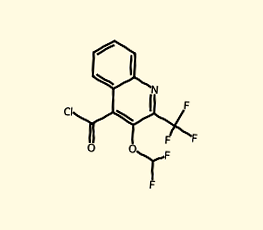 O=C(Cl)c1c(OC(F)F)c(C(F)(F)F)nc2ccccc12